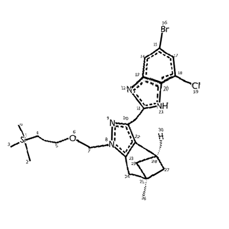 C[Si](C)(C)CCOCn1nc(-c2nc3cc(Br)cc(Cl)c3[nH]2)c2c1C[C@]1(C)C[C@H]2C1